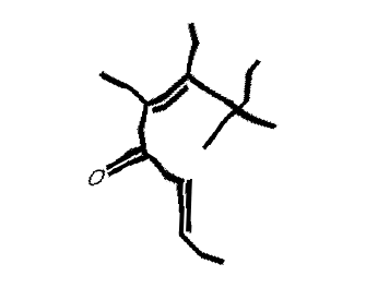 CC=CC(=O)C(C)=C(C)C(C)(C)C